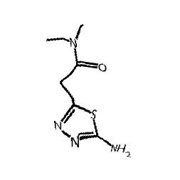 CN(C)C(=O)Cc1nnc(N)s1